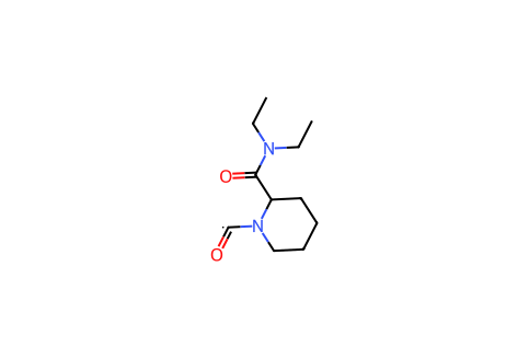 CCN(CC)C(=O)C1CCCCN1[C]=O